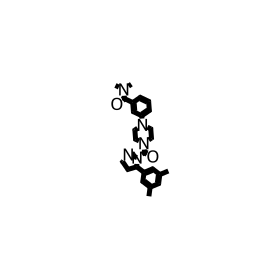 Cc1cc(C)cc(C2CC=NN2C(=O)N2CCN(c3cccc(C(=O)N(C)C)c3)CC2)c1